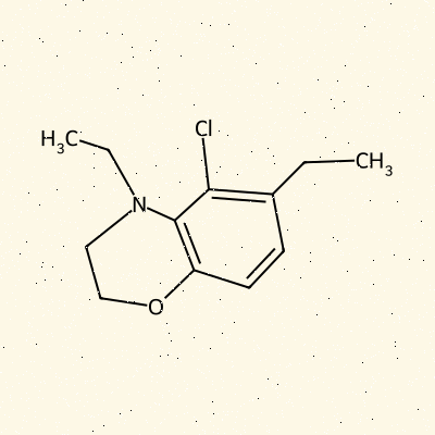 CCc1ccc2c(c1Cl)N(CC)CCO2